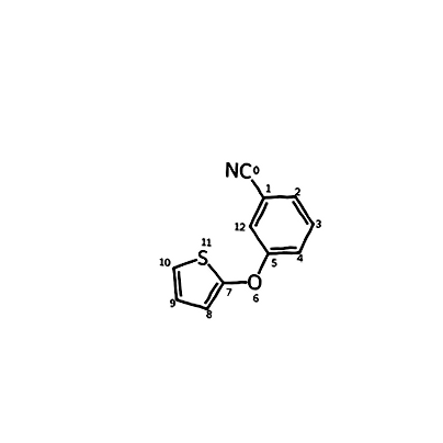 N#Cc1cccc(Oc2cccs2)c1